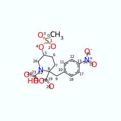 CS(=O)(=O)OC1CCC(Cc2ccc([N+](=O)[O-])cc2)(C(=O)O)N(C(=O)O)C1